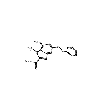 Cc1cc(OCc2ccccc2)cc2cc(C(=O)O)n(C)c12